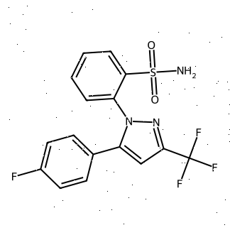 NS(=O)(=O)c1ccccc1-n1nc(C(F)(F)F)cc1-c1ccc(F)cc1